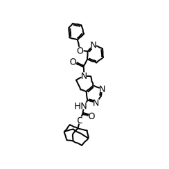 O=C(CC12CC3CC(CC(C3)C1)C2)Nc1ncnc2c1CCN(C(=O)c1cccnc1Oc1ccccc1)C2